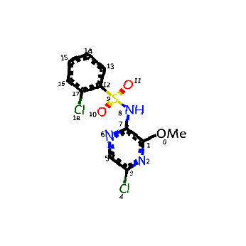 COc1nc(Cl)cnc1NS(=O)(=O)c1ccccc1Cl